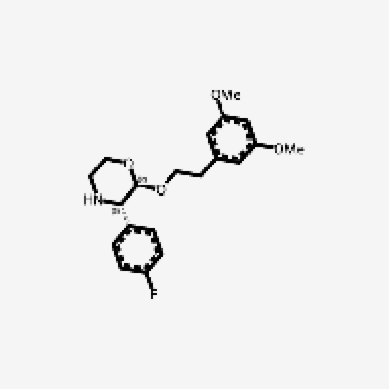 COc1cc(CCO[C@@H]2OCCN[C@H]2c2ccc(F)cc2)cc(OC)c1